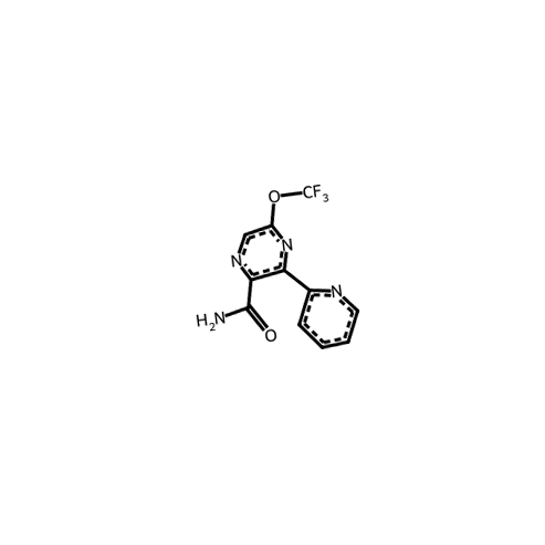 NC(=O)c1ncc(OC(F)(F)F)nc1-c1ccccn1